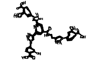 O=C(NCCc1cn(-c2ccc(C(=O)O)c(O)c2)nn1)c1cc(C2=CN(c3ccc(C(=O)O)c(O)c3)NN2)nc(-c2cn(-c3ccc(C(=O)O)c(O)c3)nn2)c1